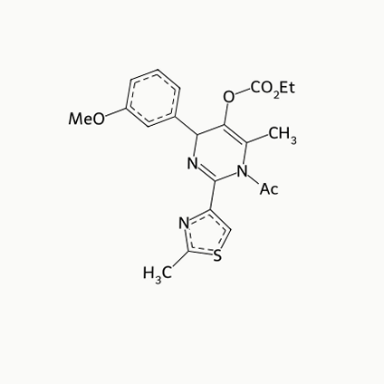 CCOC(=O)OC1=C(C)N(C(C)=O)C(c2csc(C)n2)=NC1c1cccc(OC)c1